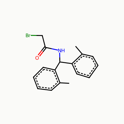 Cc1ccccc1C(NC(=O)CBr)c1ccccc1C